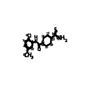 Cc1ccc(Cl)c(NC(=O)N2CCC(C(N)=S)CC2)c1